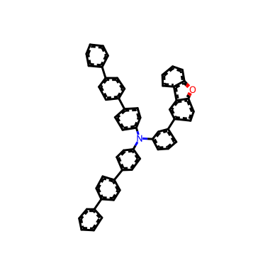 c1ccc(-c2ccc(-c3ccc(N(c4ccc(-c5ccc(-c6ccccc6)cc5)cc4)c4cccc(-c5ccc6oc7ccccc7c6c5)c4)cc3)cc2)cc1